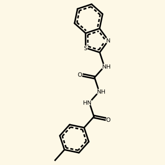 Cc1ccc(C(=O)NNC(=O)Nc2nc3ccccc3s2)cc1